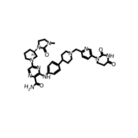 CN1CCN([C@@H]2CCCN(c3cnc(C(N)=O)c(Nc4ccc(C5CCN(Cc6ccc(N7CCC(=O)NC7=O)cn6)CC5)cc4)n3)C2)C1=O